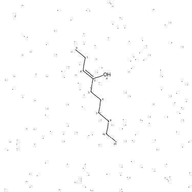 CCC=C(O)CCCCCC